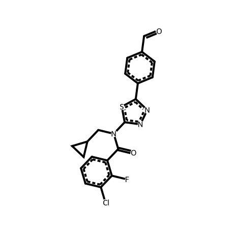 O=Cc1ccc(-c2nnc(N(CC3CC3)C(=O)c3cccc(Cl)c3F)s2)cc1